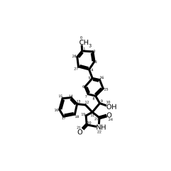 Cc1ccc(-c2ccc(C(O)C3(Cc4ccccc4)CC(=O)NC3=O)cc2)cc1